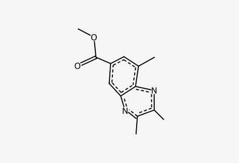 COC(=O)c1cc(C)c2nc(C)c(C)nc2c1